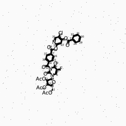 CC(=O)OC[C@H]1O[C@@H](n2cc(F)c(=O)n(C(=O)c3ccc(C(=O)Oc4cc(OC(=O)c5ccccc5)c(Cl)cn4)cc3)c2=O)[C@H](OC(C)=O)[C@@H]1OC(C)=O